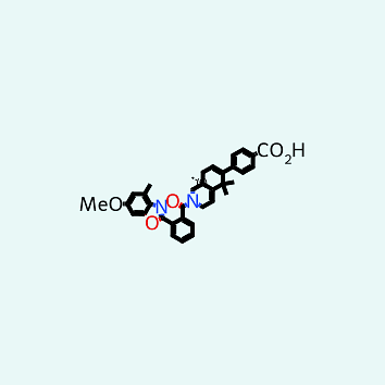 COc1cc(C)c2nc(-c3ccccc3C(=O)N3CC=C4C(C)(C)C(c5ccc(C(=O)O)cc5)=CC[C@]4(C)C3)oc2c1